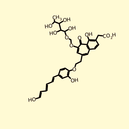 CC(O)C(O)C(O)C(O)OCOc1cc(CCOc2ccc(/C=C/C=C/C=C/O)cc2O)cc2ccc(CC(=O)O)c(O)c2c1=O